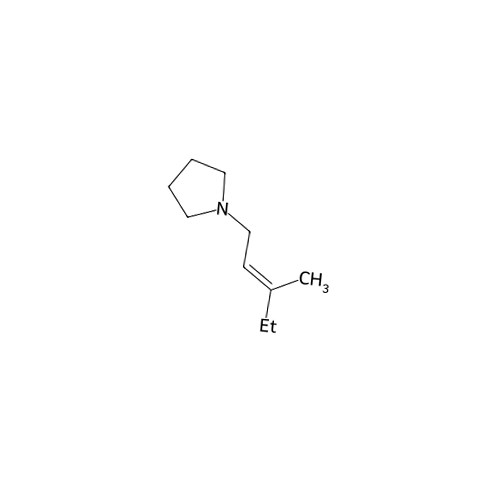 CCC(C)=CCN1CCCC1